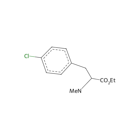 CCOC(=O)C(Cc1ccc(Cl)cc1)NC